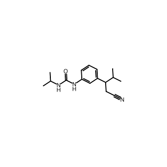 CC(C)NC(=O)Nc1cccc(C(CC#N)C(C)C)c1